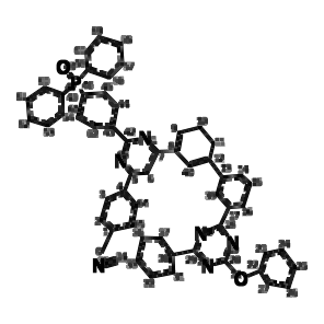 Cc1ccc(-c2cc(C3=CCCC(c4cccc(-c5nc(Oc6ccccc6)nc(-c6ccc(C#N)cc6)n5)c4)=C3)nc(-c3ccc(P(=O)(c4ccccc4)c4ccccc4)cc3)n2)cc1